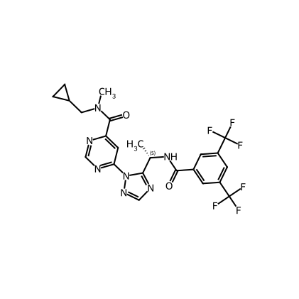 C[C@H](NC(=O)c1cc(C(F)(F)F)cc(C(F)(F)F)c1)c1ncnn1-c1cc(C(=O)N(C)CC2CC2)ncn1